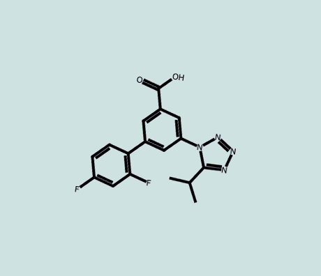 CC(C)c1nnnn1-c1cc(C(=O)O)cc(-c2ccc(F)cc2F)c1